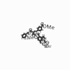 COC(=O)c1ccc(C2CN(C(=O)OCc3ccccc3)C(C)CN2Cc2c(OC)cc(C)c3c2ccn3C(=O)OC(C)(C)C)cc1